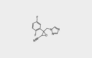 N#CC1OC1(Cn1cncn1)c1cc(F)ccc1F